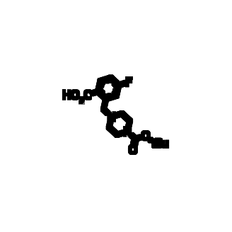 CC(C)(C)OC(=O)N1CCN(Cc2cc(F)ccc2C(=O)O)CC1